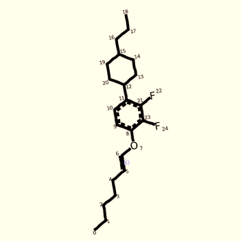 CCCCC/C=C/Oc1ccc(C2CCC(CCC)CC2)c(F)c1F